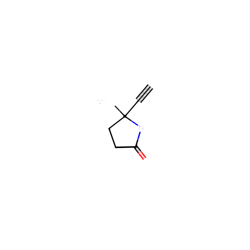 C#CC1(OC)CCC(=O)N1